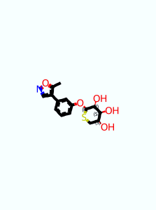 Cc1oncc1-c1cccc(O[C@@H]2SC[C@@H](O)[C@H](O)[C@H]2O)c1